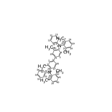 Cc1cc(-c2ccc(N(c3ccccc3)c3c(C)cccc3C)c(C)c2)ccc1N(c1ccccc1)c1c(C)cccc1C